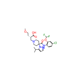 COCC[C@@H](CN1CCC(C(=O)Nc2ccc(Cl)cc2OC(F)F)(n2nccc2C(C)C)CC1)C(=O)O